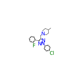 CC1CCN(Cc2nn(-c3ccc(Cl)cc3)nc2-c2ccccc2F)CC1